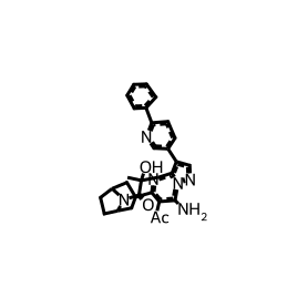 CC(=O)c1c(C2CC3CCC(C2)N3C(=O)C(C)(C)O)nc2c(-c3ccc(-c4ccccc4)nc3)cnn2c1N